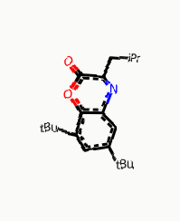 CC(C)Cc1nc2cc(C(C)(C)C)cc(C(C)(C)C)c2oc1=O